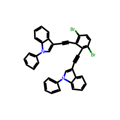 Brc1ccc(Br)c(C#Cc2cn(-c3ccccc3)c3ccccc23)c1C#Cc1cn(-c2ccccc2)c2ccccc12